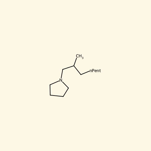 CCCCCCC(C)CN1CCCC1